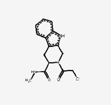 CNC(=O)C1Cc2c([nH]c3ccccc23)CN1C(=O)CCl